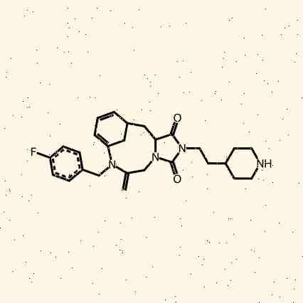 C=C1CN2C(=O)N(CCC3CCNCC3)C(=O)C2CC2C=CC=C(C2)N1Cc1ccc(F)cc1